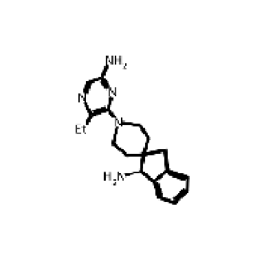 CCc1ncc(N)nc1N1CCC2(CC1)Cc1ccccc1[C@H]2N